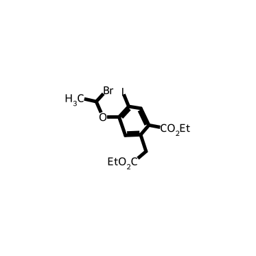 CCOC(=O)Cc1cc(OC(C)Br)c(I)cc1C(=O)OCC